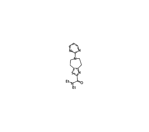 CCN(CC)C(=O)c1nc2c(s1)CCN(c1ncccn1)CC2